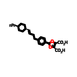 CCC[C@H]1CC[C@H](C=CCCc2ccc(C3O[C@@H](C(=O)O)[C@H](C(=O)O)O3)cc2)CC1